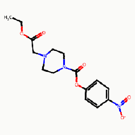 CCOC(=O)CN1CCN(C(=O)Oc2ccc([N+](=O)[O-])cc2)CC1